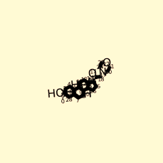 C[C@]1(O)CC[C@H]2C(=CC[C@@H]3[C@@H]2CC[C@]2(C)[C@@H](C(=O)CN4CCOCC4)CC[C@@H]32)C1